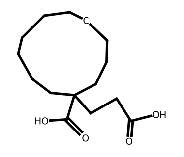 O=C(O)CCC1(C(=O)O)CCCCCCCCCC1